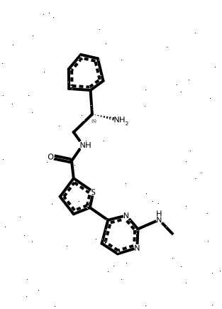 CNc1nccc(-c2ccc(C(=O)NC[C@@H](N)c3ccccc3)s2)n1